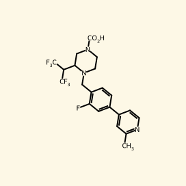 Cc1cc(-c2ccc(CN3CCN(C(=O)O)CC3C(C(F)(F)F)C(F)(F)F)c(F)c2)ccn1